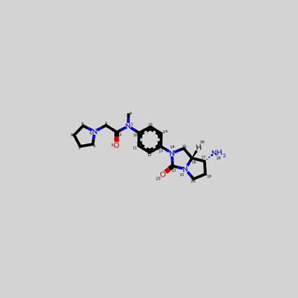 CN(C(=O)CN1CCCC1)c1ccc(N2C[C@@H]3[C@H](N)CCN3C2=O)cc1